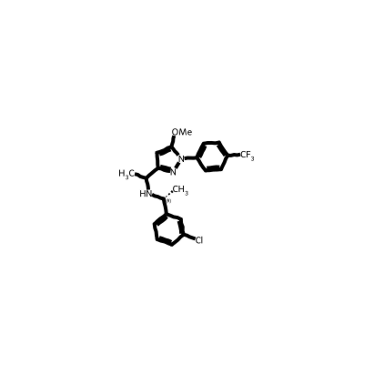 COc1cc(C(C)N[C@H](C)c2cccc(Cl)c2)nn1-c1ccc(C(F)(F)F)cc1